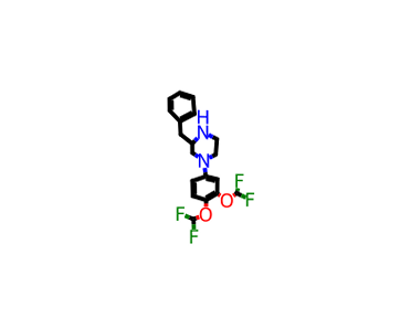 FC(F)Oc1ccc(N2CCNC(Cc3ccccc3)C2)cc1OC(F)F